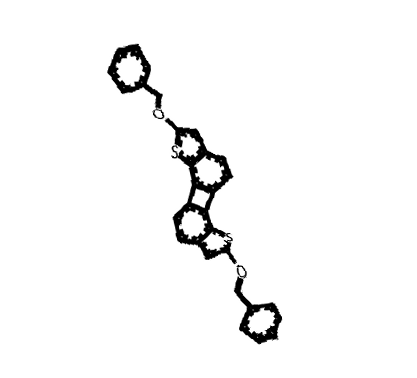 c1ccc(COc2cc3ccc4c(c3s2)-c2ccc3cc(OCc5ccccc5)sc3c2-4)cc1